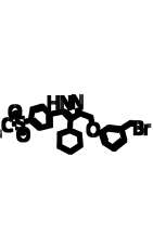 CS(=O)(=O)c1ccc(-c2[nH]nc(COc3cccc(CBr)c3)c2C2CCCCC2)cc1